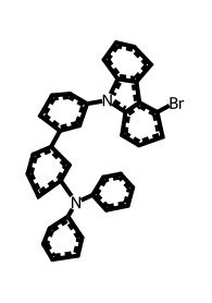 Brc1cccc2c1c1ccccc1n2-c1cccc(-c2cccc(N(c3ccccc3)c3ccccc3)c2)c1